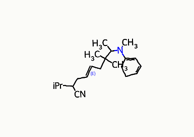 CC(C)C(C#N)C/C=C/CC(C)(C)C(C)N(C)C1=CC=CCC1